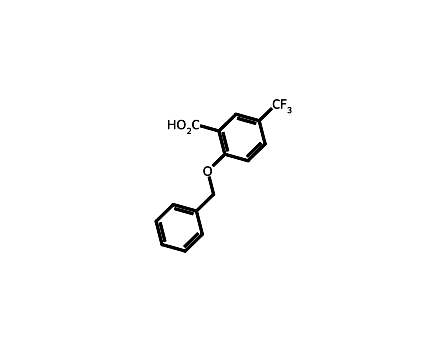 O=C(O)c1cc(C(F)(F)F)ccc1OCc1ccccc1